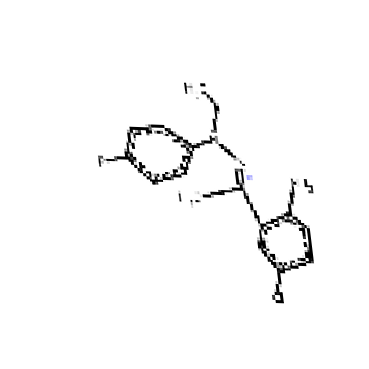 CCN(/N=C(\C)c1cc(Cl)ccc1N)c1ccc(F)cc1